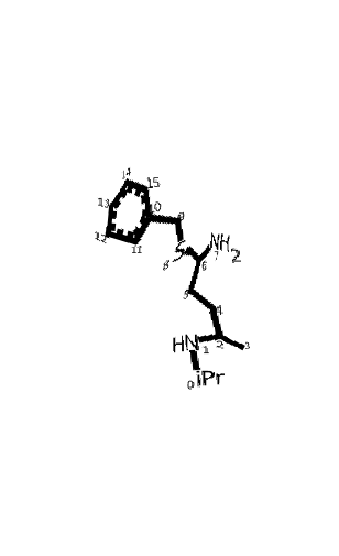 CC(C)NC(C)CCC(N)SCc1ccccc1